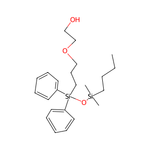 CCCC[Si](C)(C)O[Si](CCCOCCO)(c1ccccc1)c1ccccc1